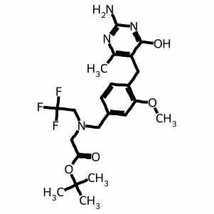 COc1cc(CN(CC(=O)OC(C)(C)C)CC(F)(F)F)ccc1Cc1c(C)nc(N)nc1O